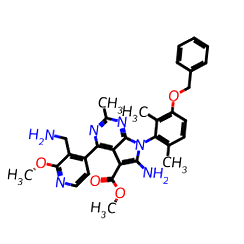 COC(=O)c1c(N)n(-c2c(C)ccc(OCc3ccccc3)c2C)c2nc(C)nc(-c3ccnc(OC)c3CN)c12